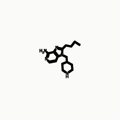 CCCCc1nc2c(N)nccc2n1CC1CCNCC1